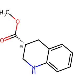 COC(=O)[C@H]1CNc2ccccc2C1